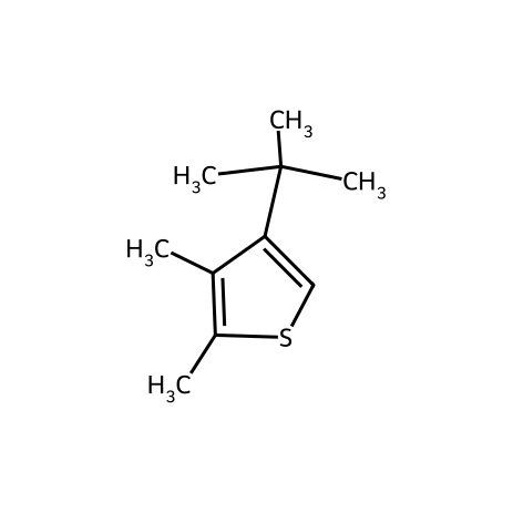 Cc1scc(C(C)(C)C)c1C